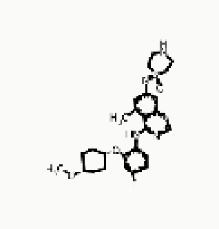 CO[C@H]1CC[C@H](Oc2cc(F)ccc2Nc2ncnc3cc(N=S4(=O)CCNCC4)cc(C)c23)CC1